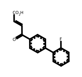 O=C(O)C=CC(=O)c1ccc(-c2ccccc2F)cc1